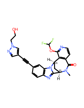 CN1C(=O)c2ccnc(OC(F)F)c2[C@H]2C[C@@H]1c1nc3ccc(C#Cc4cnn(CCO)c4)cc3n12